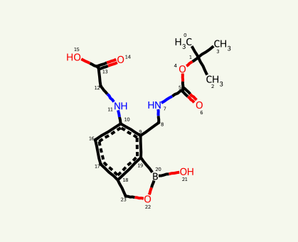 CC(C)(C)OC(=O)NCc1c(NCC(=O)O)ccc2c1B(O)OC2